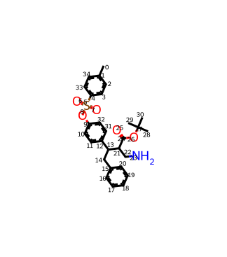 Cc1ccc(S(=O)(=O)Oc2ccc(C(Cc3ccccc3)C(CN)C(=O)OC(C)(C)C)cc2)cc1